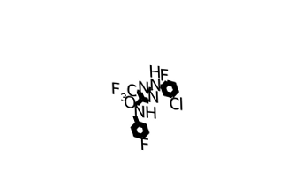 O=C(NCc1ccc(F)cc1)c1cnc(Nc2cc(Cl)ccc2F)nc1C(F)(F)F